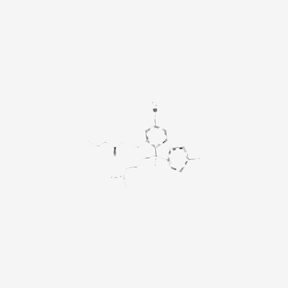 CCCC(=O)OCc1cc(C#N)ccc1C(O)(CCCN(C)C)c1ccc(F)cc1